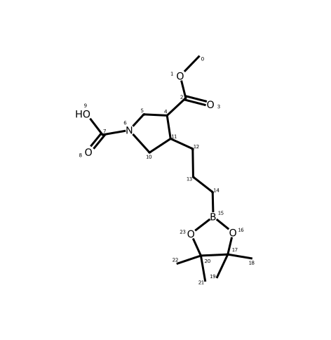 COC(=O)C1CN(C(=O)O)CC1CCCB1OC(C)(C)C(C)(C)O1